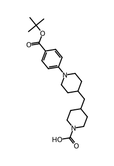 CC(C)(C)OC(=O)c1ccc(N2CCC(CC3CCN(C(=O)O)CC3)CC2)cc1